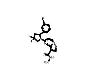 CC(C)(C)NC(=O)c1cnn2ccc(N3CC(F)(F)CC3c3cccc(F)c3)nc12